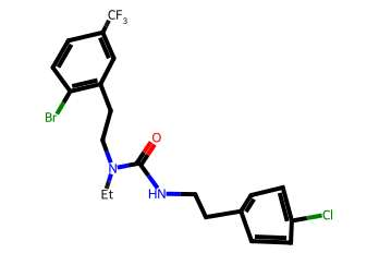 CCN(CCc1cc(C(F)(F)F)ccc1Br)C(=O)NCCc1ccc(Cl)cc1